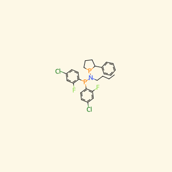 CCCCN(P(c1ccc(Cl)cc1F)c1ccc(Cl)cc1F)P1CCCC1c1ccccc1